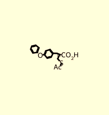 CC(=O)SC[C@@H](Cc1ccc(Oc2ccccc2)cc1)C(=O)O